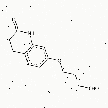 O=CCCCOc1ccc2c(c1)NC(=O)CC2